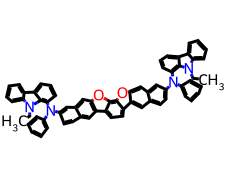 CCn1c2ccccc2c2cccc(N(c3ccccc3)c3ccc4cc5c(cc4c3)oc3c5ccc4c5cc6ccc(N(c7ccccc7)c7cccc8c9ccccc9n(CC)c78)cc6cc5oc43)c21